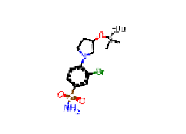 CC(C)(C)[Si](C)(C)OC1CCN(c2ccc(S(N)(=O)=O)cc2Br)C1